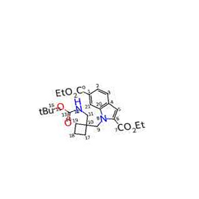 CCOC(=O)c1ccc2cc(C(=O)OCC)n(CC3(CNC(=O)OC(C)(C)C)CCC3)c2c1